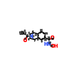 CC(C)(C)C(=O)N1C2CCC1c1cc(C(=O)NO)ccc12